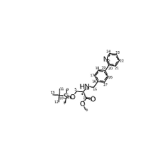 COC(=O)C(CO[Si](C)(C)C(C)(C)C)NCc1ccc(-c2ccccn2)cc1